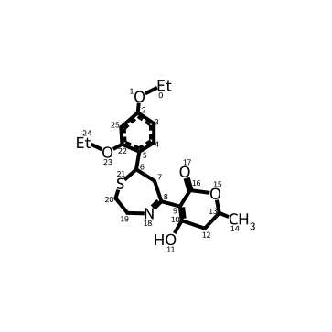 CCOc1ccc(C2CC(C3=C(O)CC(C)OC3=O)=NCCS2)c(OCC)c1